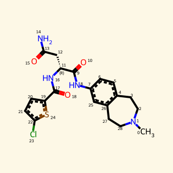 CN1CCc2ccc(NC(=O)[C@@H](CC(N)=O)NC(=O)c3ccc(Cl)s3)cc2CC1